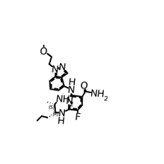 CCC[C@@H](Nc1nc(Nc2cccc3c2cnn3CCOC)c(C(N)=O)cc1F)[C@H](C)N